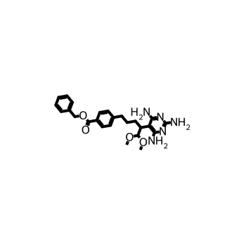 COC(OC)C(CCCc1ccc(C(=O)OCc2ccccc2)cc1)c1c(N)nc(N)nc1N